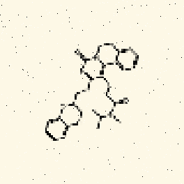 CC(C)N(C)C(=O)COc1c(OCC2COc3ccccc3O2)nc(=O)n2c1-c1ccccc1CC2